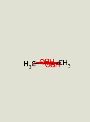 CCCCCCCC(O)CCCC(O)C(O)CCCC(O)CCCCCCC